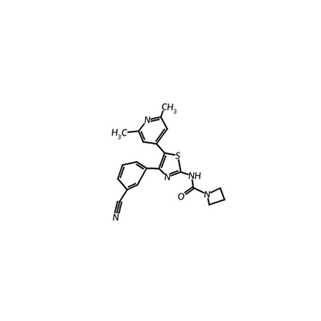 Cc1cc(-c2sc(NC(=O)N3CCC3)nc2-c2cccc(C#N)c2)cc(C)n1